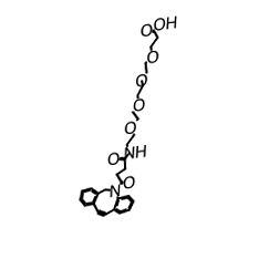 O=C(O)CCOCCOCCOCCOCCNC(=O)CCC(=O)N1Cc2ccccc2C#Cc2ccccc21